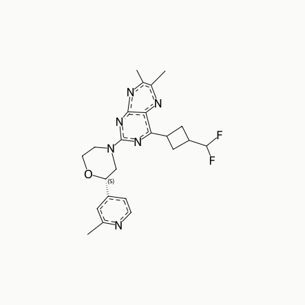 Cc1cc([C@H]2CN(c3nc(C4CC(C(F)F)C4)c4nc(C)c(C)nc4n3)CCO2)ccn1